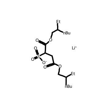 CCCCC(CC)COC(=O)CC(C(=O)OCC(CC)CCCC)S(=O)(=O)[O-].[Li+]